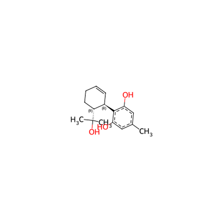 Cc1cc(O)c([C@@H]2C=CCC[C@H]2C(C)(C)O)c(O)c1